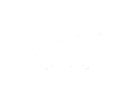 COCCOc1c(C2C(C(N)=O)OC(C)(C(F)(F)F)C2C)ccc(F)c1C